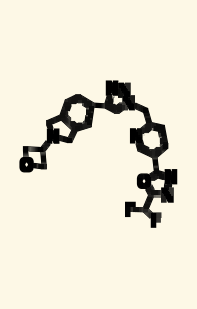 FC(F)c1nnc(-c2ccc(Cn3cc(-c4ccc5c(c4)CN(C4COC4)C5)nn3)nc2)o1